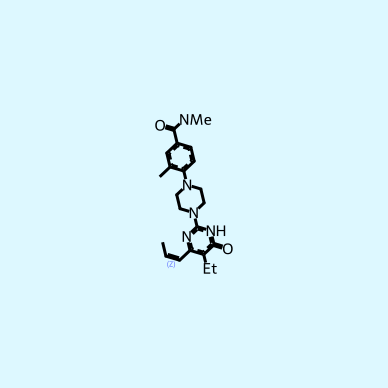 C/C=C\c1nc(N2CCN(c3ccc(C(=O)NC)cc3C)CC2)[nH]c(=O)c1CC